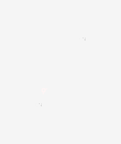 N#CCCCCCCCCCCCOCCC#N